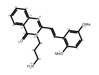 COc1ccc(OC)c(/C=C/c2nc3ccccc3c(=O)n2CCCN)c1